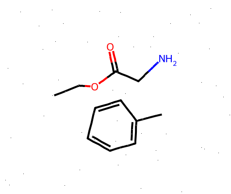 CCOC(=O)CN.Cc1ccccc1